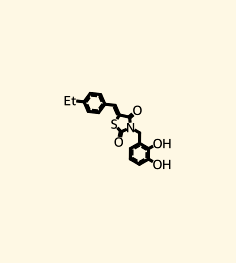 CCc1ccc(/C=C2\SC(=O)N(Cc3cccc(O)c3O)C2=O)cc1